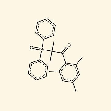 Cc1cc(C)c(C(=O)C(C)(C)P(=O)(c2ccccc2)c2ccccc2)c(C)c1